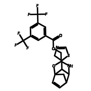 O=C(OCC1NC2C3C=CC(C3)(O1)C2C1CN=CS1)c1cc(C(F)(F)F)cc(C(F)(F)F)c1